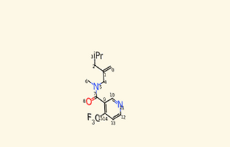 C=C(CC(C)C)CN(C)C(=O)c1cnccc1C(F)(F)F